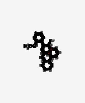 COc1ccccc1-c1cc(/C=C2/CCCN=C2c2cccnc2)ccc1F